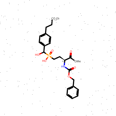 CCOC(=O)CCc1ccc(C(O)P(=O)(O)CC[C@H](NC(=O)OCc2ccccc2)C(=O)OC)cc1